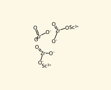 [O]=[Zr]([O-])[O-].[O]=[Zr]([O-])[O-].[O]=[Zr]([O-])[O-].[Sc+3].[Sc+3]